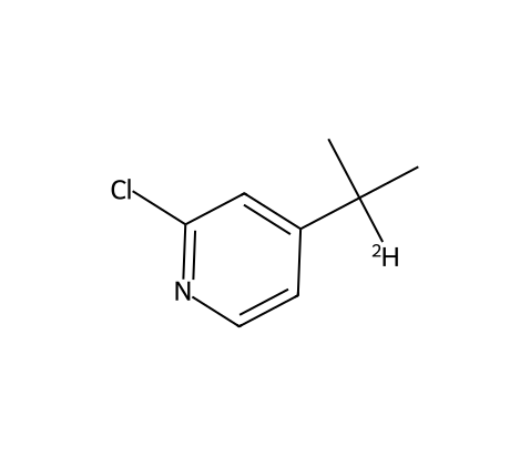 [2H]C(C)(C)c1ccnc(Cl)c1